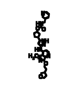 Cn1nc(OCCC2CCOC2)c2nccc(Nc3cc(C4CCC(OC(=O)NCc5cccnc5)C4)[nH]n3)c21